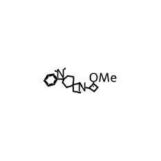 CO[C]1CCC1N1CCC2(CCC(c3ccccc3)(N(C)C)CC2)C1